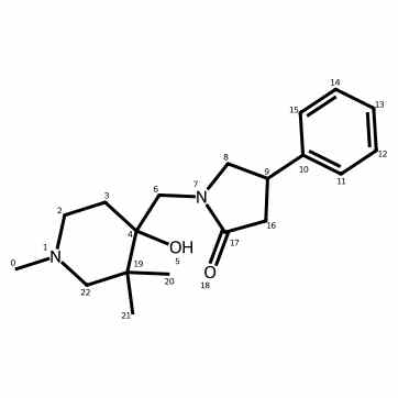 CN1CCC(O)(CN2CC(c3ccccc3)CC2=O)C(C)(C)C1